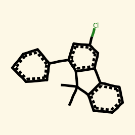 CC1(C)c2ccccc2-c2cc(Cl)cc(-c3ccccc3)c21